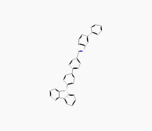 c1ccc(-c2ccc3oc(-c4ccc(-c5ccc(-n6c7ccccc7c7ccccc76)cc5)cc4)nc3c2)cc1